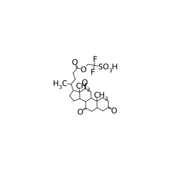 CC(CCC(=O)OCC(F)(F)S(=O)(=O)O)C1CCC2C3C(=O)CC4CC(=O)CCC4(C)C3CC(=O)C12C